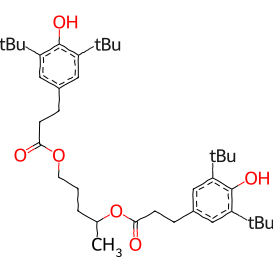 CC(CCCOC(=O)CCc1cc(C(C)(C)C)c(O)c(C(C)(C)C)c1)OC(=O)CCc1cc(C(C)(C)C)c(O)c(C(C)(C)C)c1